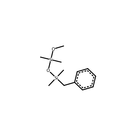 CO[Si](C)(C)O[Si](C)(C)Cc1ccccc1